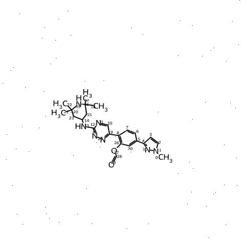 Cn1ccc(-c2ccc(-c3cnc(NC4CC(C)(C)NC(C)(C)C4)nn3)c(OC=O)c2)n1